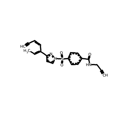 C#C/C=C\C(=C/C)c1ccn(S(=O)(=O)c2ccc(C(=O)NCC#C)cc2)n1